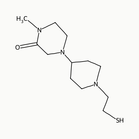 CN1CCN(C2CCN(CCS)CC2)CC1=O